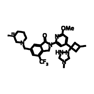 COc1cc(C2(N3CN(C)CN3)CC(C)C2)cc(N2Cc3c(cc(CN4CCC[C@H](C)C4)cc3C(F)(F)F)C2=O)n1